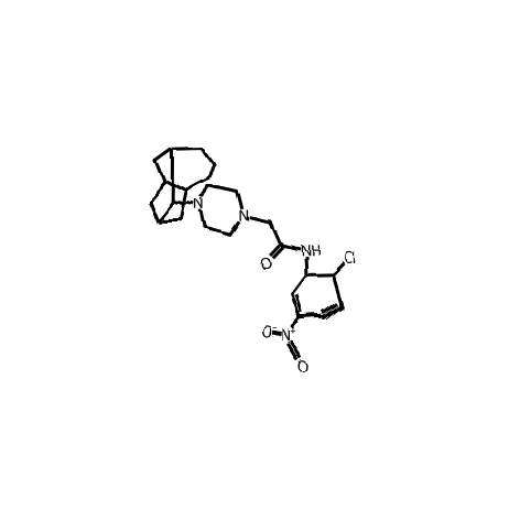 O=C(CN1CCN(C2C3CCCC4CC2CC4C3)CC1)NC1C=C([N+](=O)[O-])C=CC1Cl